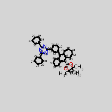 CC1(C)OB(c2c3c(c(-c4cccc(-c5nc(-c6ccccc6)nc(-c6ccccc6)n5)c4)c4ccccc24)C=CCC=C3)OC1(C)C